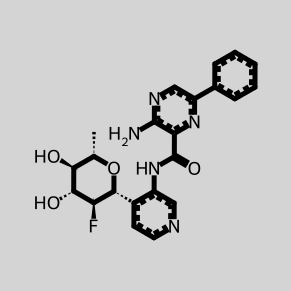 C[C@@H]1O[C@H](c2ccncc2NC(=O)c2nc(-c3ccccc3)cnc2N)[C@@H](F)[C@H](O)[C@H]1O